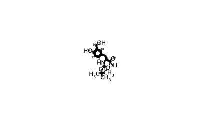 CC(C)(C)OC(=O)NC(Cc1ccc(O)c(CO)c1)C(=O)O